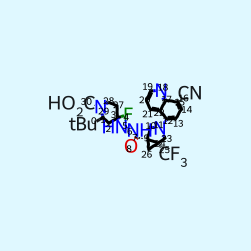 CC(C)(C)C1CC(F)(NNC(=O)[C@]23CN(c4ccc(C#N)c5ncccc45)C[C@@]2(C(F)(F)F)C3)CCN1C(=O)O